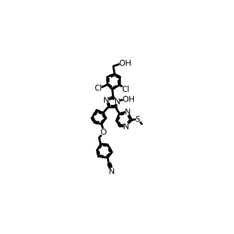 CSc1nccc(-c2c(-c3cccc(OCc4ccc(C#N)cc4)c3)nc(-c3c(Cl)cc(CO)cc3Cl)n2O)n1